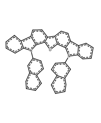 c1ccc2cc(-n3c4ccccc4c4ccc5c6ccc7c8ccccc8n(-c8ccc9ccccc9c8)c7c6oc5c43)ccc2c1